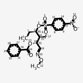 CC[C@@H](OS(=O)(=O)c1ccc([N+](=O)[O-])cc1)[C@@H](F)[C@H](C=NOC)OC(=O)c1ccccc1